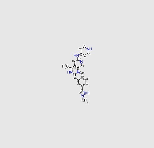 C=C(Nc1cc2cc(-c3cn(C)[nH]3)ccc2cn1)c1ccnc(NC2CCNCC2)c1